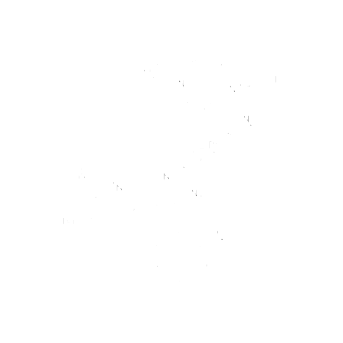 CC(C)(C)OC(=O)N1CCn2c(C(F)(F)F)nc(-c3ccccc3C(F)(F)F)c2C1.O=C(O)N1CCn2c(C(F)(F)F)nc(Br)c2C1